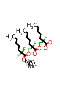 CCCCCC(F)(F)C(=O)[O-].CCCCCC(F)(F)C(=O)[O-].CCCCCC(F)(F)C(=O)[O-].[Na+].[Na+].[Na+]